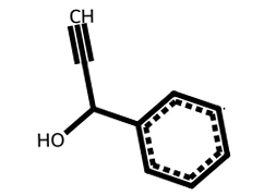 C#CC(O)c1c[c]ccc1